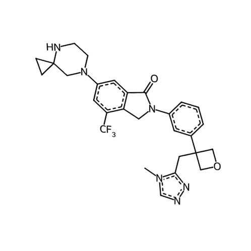 Cn1cnnc1CC1(c2cccc(N3Cc4c(cc(N5CCNC6(CC6)C5)cc4C(F)(F)F)C3=O)c2)COC1